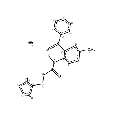 Br.COc1ccc(N(C)C(=O)CSc2ncc[nH]2)c(C(=O)c2ccccc2)c1